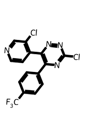 FC(F)(F)c1ccc(-c2nc(Cl)nnc2-c2ccncc2Cl)cc1